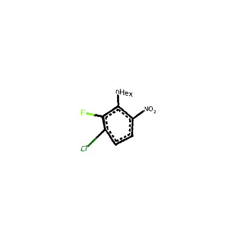 CCCCCCc1c([N+](=O)[O-])ccc(Cl)c1F